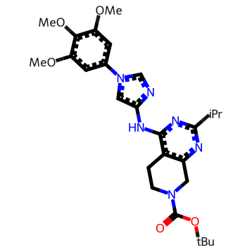 COc1cc(-n2cnc(Nc3nc(C(C)C)nc4c3CCN(C(=O)OC(C)(C)C)C4)c2)cc(OC)c1OC